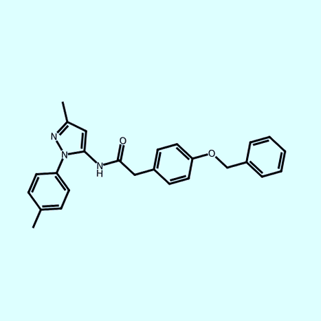 Cc1ccc(-n2nc(C)cc2NC(=O)Cc2ccc(OCc3ccccc3)cc2)cc1